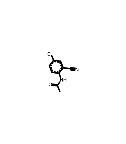 CC(=O)Nc1ccc(Cl)cc1C#N